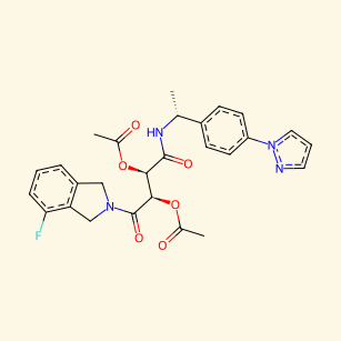 CC(=O)O[C@@H](C(=O)N[C@H](C)c1ccc(-n2cccn2)cc1)[C@@H](OC(C)=O)C(=O)N1Cc2cccc(F)c2C1